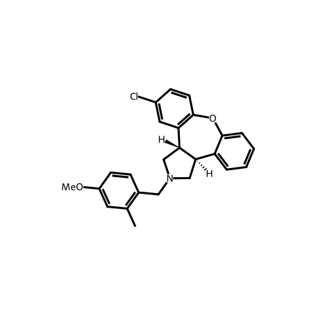 COc1ccc(CN2C[C@@H]3c4ccccc4Oc4ccc(Cl)cc4[C@H]3C2)c(C)c1